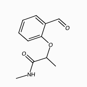 CNC(=O)C(C)Oc1ccccc1C=O